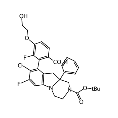 CC(C)(C)OC(=O)N1CCN2c3cc(F)c(Cl)c(-c4c(C(=O)O)ccc(OCCO)c4F)c3CC2(c2ccccc2)C1